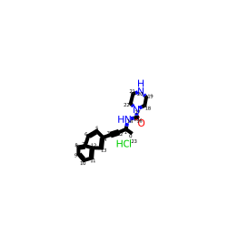 CC(C#Cc1ccc2ccccc2c1)NC(=O)N1CCNCC1.Cl